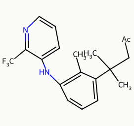 CC(=O)CC(C)(C)c1cccc(Nc2cccnc2C(F)(F)F)c1C